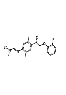 CCN(C)C=Nc1cc(C)c(C(=O)COc2ccccc2F)cc1C